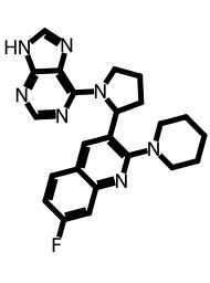 Fc1ccc2cc(C3CCCN3c3ncnc4[nH]cnc34)c(N3CCCCC3)nc2c1